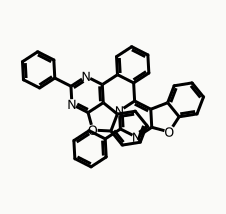 c1ccc(-c2nc(-c3ccccc3-c3nc(-c4ccccc4)nc4oc5ccccc5c34)c3c(n2)oc2ccccc23)cc1